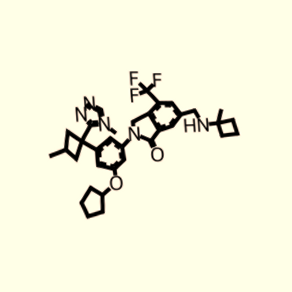 CC1CC(c2cc(OC3CCCC3)cc(N3Cc4c(cc(CNC5(C)CCC5)cc4C(F)(F)F)C3=O)c2)(c2nncn2C)C1